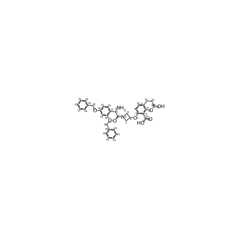 NC(C(=O)N1CC(Oc2ccc3c(c2C(=O)O)OB(O)CC3)C1)c1ccc(OCc2ccccc2)cc1OCc1ccccc1